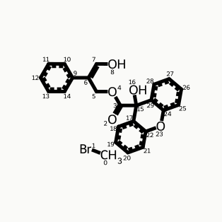 CBr.O=C(OCC(=CO)c1ccccc1)C1(O)c2ccccc2Oc2ccccc21